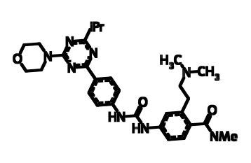 CNC(=O)c1ccc(NC(=O)Nc2ccc(-c3nc(C(C)C)nc(N4CCOCC4)n3)cc2)cc1CCN(C)C